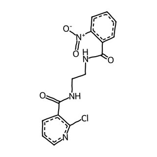 O=C(NCCNC(=O)c1cccnc1Cl)c1ccccc1[N+](=O)[O-]